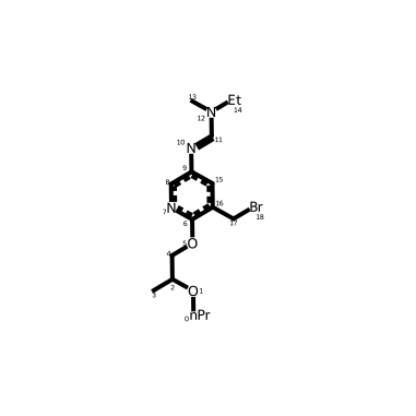 CCCOC(C)COc1ncc(N=CN(C)CC)cc1CBr